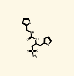 NS(=O)(=O)CC(Cc1cccs1)NC(=O)NCc1cccs1